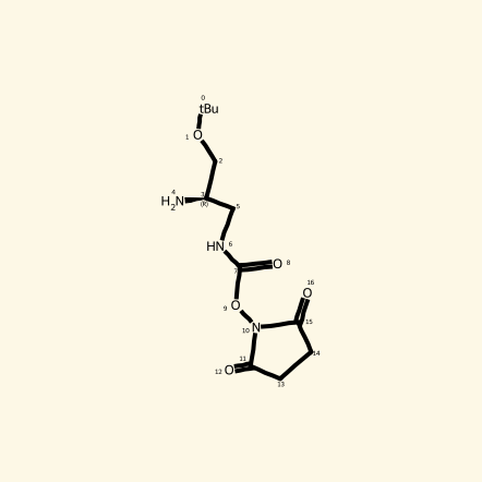 CC(C)(C)OC[C@H](N)CNC(=O)ON1C(=O)CCC1=O